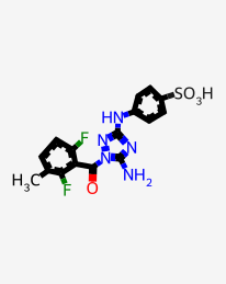 Cc1ccc(F)c(C(=O)n2nc(Nc3ccc(S(=O)(=O)O)cc3)nc2N)c1F